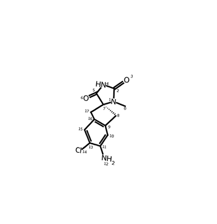 CN1C(=O)NC(=O)[C@@]12Cc1cc(N)c(Cl)cc1C2